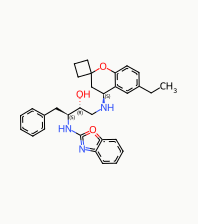 CCc1ccc2c(c1)[C@@H](NC[C@@H](O)[C@H](Cc1ccccc1)Nc1nc3ccccc3o1)CC1(CCC1)O2